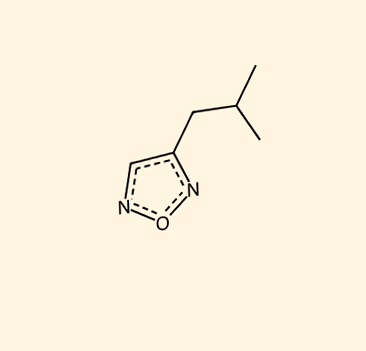 CC(C)Cc1cnon1